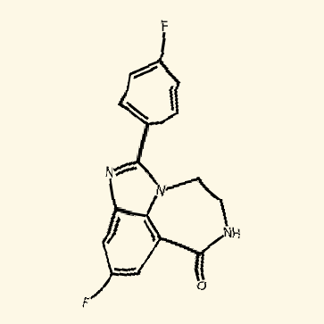 O=C1NCCn2c(-c3ccc(F)cc3)nc3cc(F)cc1c32